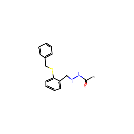 CC(C)C(=O)NNCc1ccccc1SCc1ccccc1